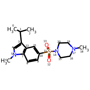 CC(C)c1cn(C)c2ccc(S(=O)(=O)N3CCN(C)CC3)cc12